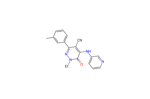 CCn1nc(-c2cccc(C)c2)c(C#N)c(Nc2cccnc2)c1=O